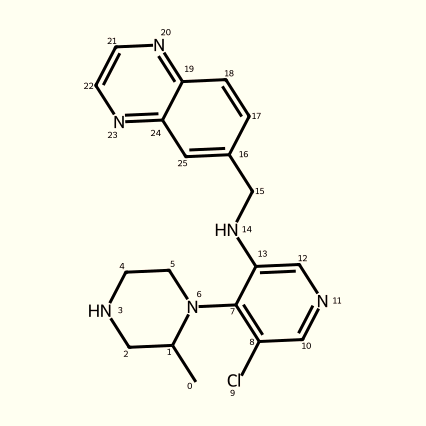 CC1CNCCN1c1c(Cl)cncc1NCc1ccc2nccnc2c1